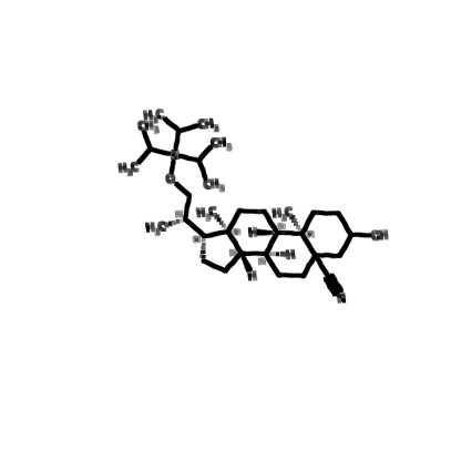 CC(C)[Si](OC[C@@H](C)[C@H]1CC[C@H]2[C@@H]3CCC4(C#N)CC(O)CC[C@]4(C)[C@H]3CC[C@]12C)(C(C)C)C(C)C